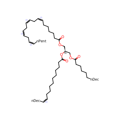 CCCCC/C=C\C/C=C\C/C=C\C/C=C\CCCCCC(=O)OC[C@@H](COC(=O)CCCCCCCCCCCCCCC)OC(=O)CCCCCCCCC/C=C\CCCCCCCCCC